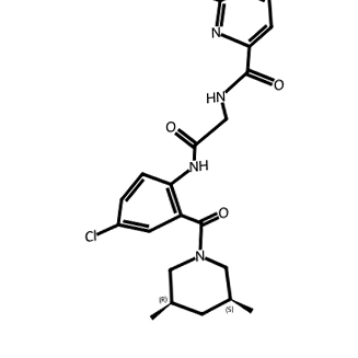 Cc1cccc(C(=O)NCC(=O)Nc2ccc(Cl)cc2C(=O)N2C[C@H](C)C[C@H](C)C2)n1